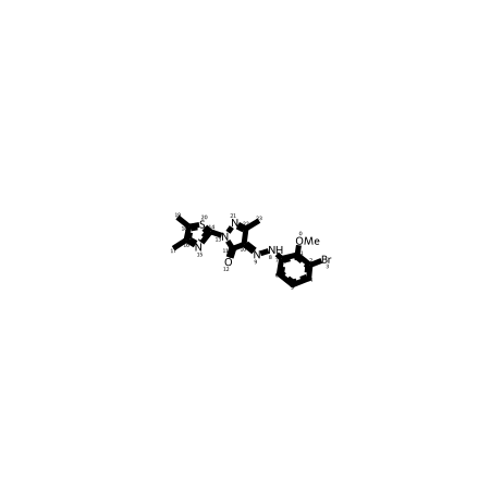 COc1c(Br)cccc1N/N=C1/C(=O)N(c2nc(C)c(C)s2)N=C1C